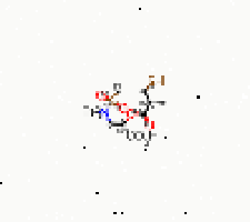 CCN(C[C@H](OC(=O)[C@H](C)CS)C(=O)O)S(C)(=O)=O